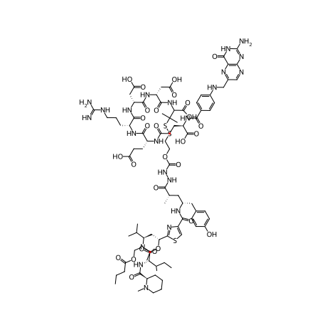 CCCC(=O)OCN(C(=O)[C@@H](NC(=O)[C@H]1CCCCN1C)C(C)CC)[C@H](C[C@@H](OC(C)=O)c1nc(C(=O)N[C@@H](Cc2ccc(O)cc2)C[C@H](C)C(=O)NNC(=O)OCCSSC(C)(C)C(NC(=O)[C@@H](CC(=O)O)NC(=O)[C@@H](CC(=O)O)NC(=O)[C@@H](CCCNC(=N)N)NC(=O)[C@@H](CCC(=O)O)NC(=O)CC[C@@H](NC(=O)c2ccc(NCc3cnc4nc(N)[nH]c(=O)c4n3)cc2)C(=O)O)C(=O)O)cs1)C(C)C